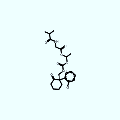 CC(OC(=O)CNC(=O)C(C)C)OC(=O)NC[C@@]1(c2ccccc2Cl)CCCCC1=O